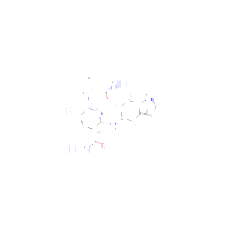 CCC(Nc1nc(Nc2ccc3ncsc3c2)c(C(N)=O)cc1F)C(N)=O